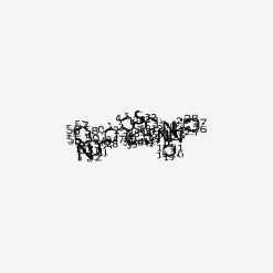 C1=CC(c2ccc3c(c2)C2(c4cc(-c5nc(-c6ccccc6)nc(-c6ccccc6)n5)ccc4S3)c3ccccc3-c3ccccc32)CC=C1c1ccnc2ccccc12